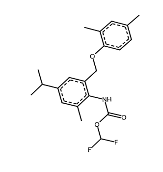 Cc1ccc(OCc2cc(C(C)C)cc(C)c2NC(=O)OC(F)F)c(C)c1